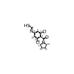 O=C(c1c(Cl)cc(/N=C/S)cc1Cl)N1CCCC1